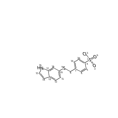 O=S(=O)(Cl)c1ccc(CSc2ccc3cc[nH]c3c2)cc1